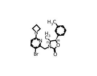 Cc1cccc([C@H]2OC(=O)N(Cc3nc(N4CCC4)ccc3Br)[C@H]2C)c1